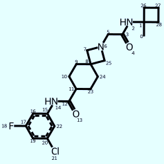 CC1(NC(=O)CN2CC3(CCC(C(=O)Nc4cc(F)cc(Cl)c4)CC3)C2)CCC1